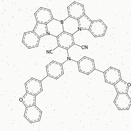 N#Cc1c(N(c2ccc(-c3ccc4oc5ccccc5c4c3)cc2)c2ccc(-c3ccc4oc5ccccc5c4c3)cc2)c(C#N)c2c3c1-n1c4ccccc4c4cccc(c41)B3c1cccc3c4ccccc4n-2c13